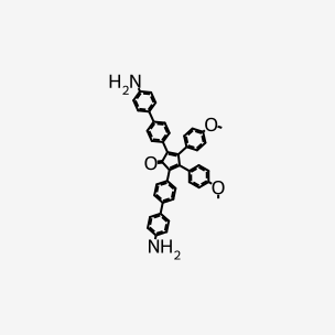 COc1ccc(C2=C(c3ccc(-c4ccc(N)cc4)cc3)C(=O)C(c3ccc(-c4ccc(N)cc4)cc3)=C2c2ccc(OC)cc2)cc1